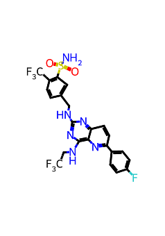 NS(=O)(=O)c1cc(CNc2nc(NCC(F)(F)F)c3nc(-c4ccc(F)cc4)ccc3n2)ccc1C(F)(F)F